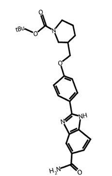 CC(C)(C)OC(=O)N1CCCC(COc2ccc(-c3nc4cc(C(N)=O)ccc4[nH]3)cc2)C1